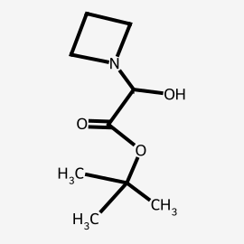 CC(C)(C)OC(=O)[C](O)N1CCC1